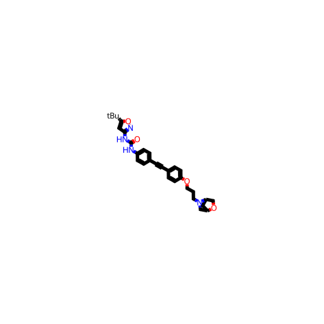 CC(C)(C)c1cc(NC(=O)Nc2ccc(C#Cc3ccc(OCCCN4CC5CC4CO5)cc3)cc2)no1